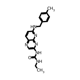 CCNC(=O)Nc1cnc2ccc(NCc3ccc(C)cc3)nc2n1